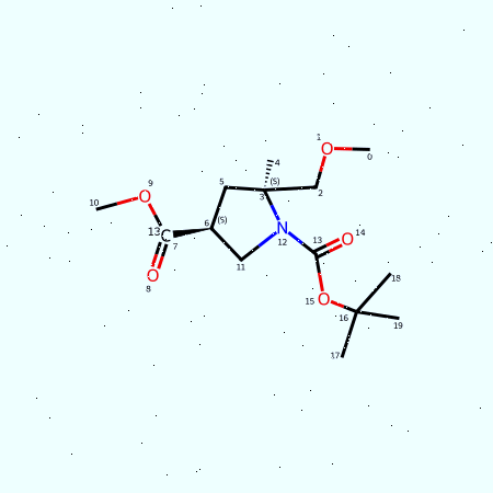 COC[C@]1(C)C[C@H]([13C](=O)OC)CN1C(=O)OC(C)(C)C